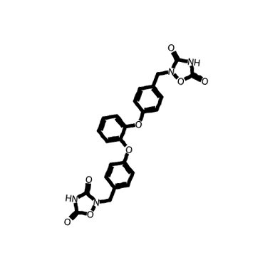 O=c1[nH]c(=O)n(Cc2ccc(Oc3ccccc3Oc3ccc(Cn4oc(=O)[nH]c4=O)cc3)cc2)o1